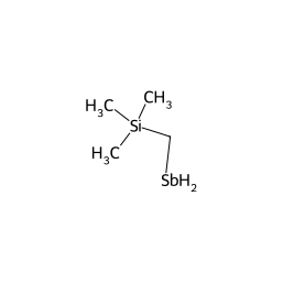 C[Si](C)(C)[CH2][SbH2]